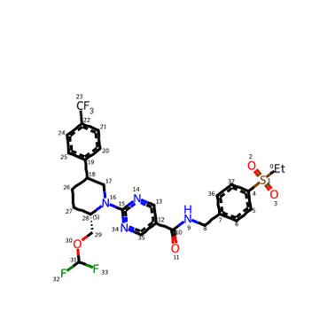 CCS(=O)(=O)c1ccc(CNC(=O)c2cnc(N3CC(c4ccc(C(F)(F)F)cc4)CC[C@H]3COC(F)F)nc2)cc1